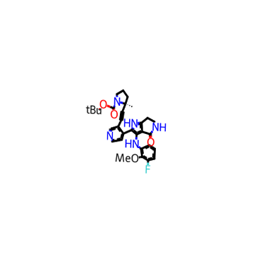 COc1c(F)cccc1Nc1c(-c2ccncc2C#C[C@]2(C)CCCN2C(=O)OC(C)(C)C)[nH]c2c1C(=O)NCC2